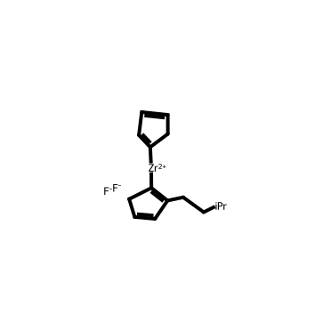 CC(C)CCC1=[C]([Zr+2][C]2=CC=CC2)CC=C1.[F-].[F-]